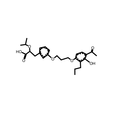 CCCc1c(OCCCOc2cccc(CC(OC(C)C)C(=O)O)c2)ccc(C(C)=O)c1O